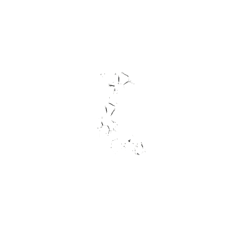 COc1ccc(F)cc1C(=O)NCc1ccc(-c2nn(C[C@H]3CCCCN3C(=O)n3cncn3)c(N)c2C(N)=O)cc1